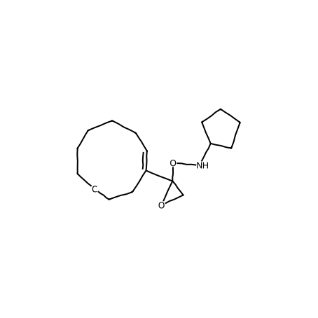 C1=C(/C2(ONC3CCCC3)CO2)CCCCCCCC/1